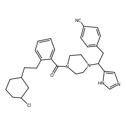 N#Cc1ccc(CC(c2cnc[nH]2)N2CCN(C(=O)c3ccccc3CCC3CCCC(Cl)C3)CC2)cc1